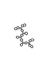 c1ccc(N(c2ccc(N(c3ccccc3)c3ccc(N(c4ccc5ccccc5c4)c4ccc5ccccc5c4)cc3)cc2)c2ccc(N(c3ccccc3)c3ccc(N(c4ccc5ccccc5c4)c4ccc5ccccc5c4)cc3)cc2)cc1